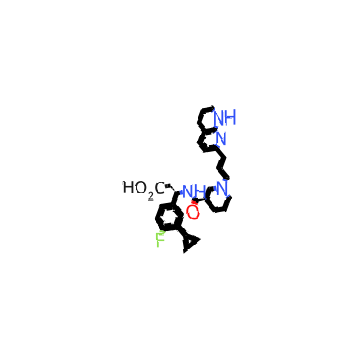 O=C(O)C[C@H](NC(=O)[C@@H]1CCCN(CCCc2ccc3c(n2)NCCC3)C1)c1ccc(F)c(C2CC2)c1